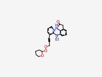 CCN(c1cccc2c1NC(=O)C2)c1ncccc1C#CCOOC1CCCCO1